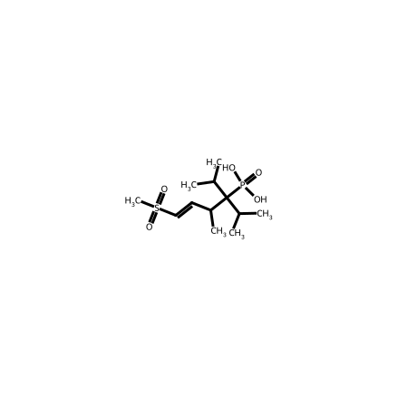 CC(C)C(C(C)C)(C(C)C=CS(C)(=O)=O)P(=O)(O)O